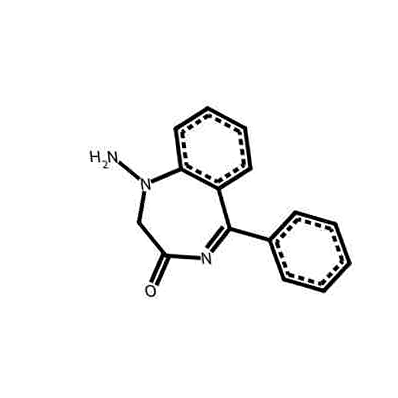 NN1CC(=O)N=C(c2ccccc2)c2ccccc21